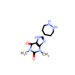 C1CCNNCC1.Cn1c(=O)c2[nH]cnc2n(C)c1=O